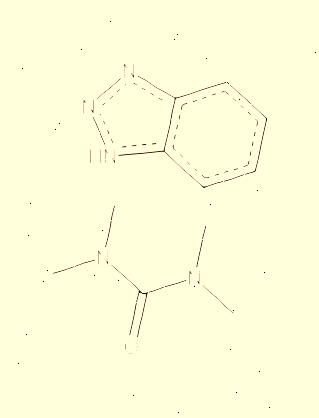 CN(C)C(=O)N(C)C.c1ccc2[nH]nnc2c1